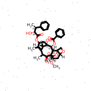 CO[C@H]1C[C@H]2OC[C@@]2(OC(C)=O)[C@H]2[C@H](OC(=O)c3ccccc3)[C@]3(O)CC(OC(=O)[C@H](O)[C@@H](C)c4ccccc4)C(C)=C(C(C)C(=O)[C@]12C)C3(C)C